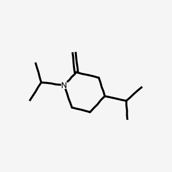 C=C1CC(C(C)C)CCN1C(C)C